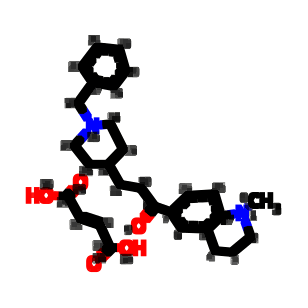 CN1CCCc2cc(C(=O)CCC3CCN(Cc4ccccc4)CC3)ccc21.O=C(O)C=CC(=O)O